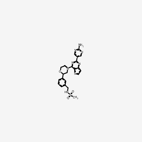 CS(=O)(=O)NCc1cccc(C2CN(c3nc(-c4cnc(N)nc4)nc4ccsc34)CCO2)c1